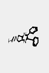 c1ccc(-c2nc3c(nc2-c2ccccc2)CNC3)cc1